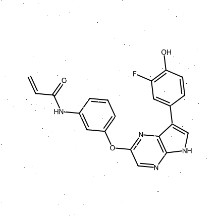 C=CC(=O)Nc1cccc(Oc2cnc3[nH]cc(-c4ccc(O)c(F)c4)c3n2)c1